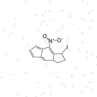 O=[N+]([O-])C1=C2C(I)CCC2C=C2C=CC=C21